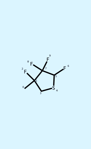 CC1(F)CSC(F)C1(F)F